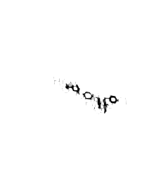 CCn1c(=O)[nH]/c(=N\[C@H]2CC[C@H](Oc3ccnc(C(=O)O)c3)CC2)n(Cc2ccc(Cl)cc2)c1=O